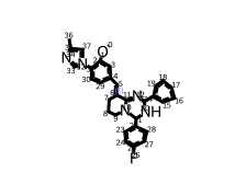 COc1cc(/C=C2\CCCN3C2=NC(c2ccccc2)NC3c2ccc(F)cc2)ccc1-n1cnc(C)c1